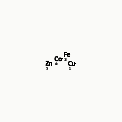 [Co].[Cu].[Fe].[Zn]